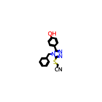 N#CCSc1nnc(-c2ccc(O)cc2)n1Cc1ccccc1